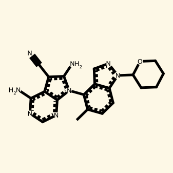 Cc1ccc2c(cnn2C2CCCCO2)c1-n1c(N)c(C#N)c2c(N)ncnc21